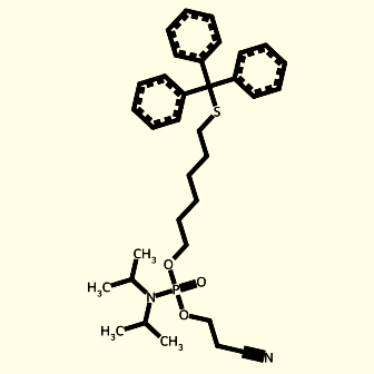 CC(C)N(C(C)C)P(=O)(OCCC#N)OCCCCCCSC(c1ccccc1)(c1ccccc1)c1ccccc1